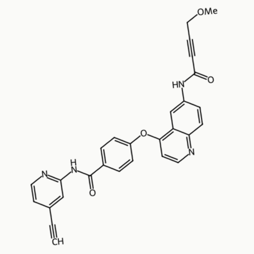 C#Cc1ccnc(NC(=O)c2ccc(Oc3ccnc4ccc(NC(=O)C#CCOC)cc34)cc2)c1